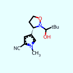 Cn1cc([C@@H]2CCON2C(O)C(C)(C)C)cc1C#N